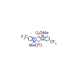 COC(=O)C1=C(Nc2ccc(C(F)(F)F)cc2)CC(C(=O)OC)C(Nc2ccc(C(F)(F)F)cc2)C1